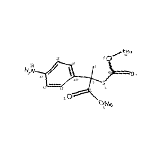 COC(=O)C(C)(SC(=O)OC(C)(C)C)c1ccc(N)cc1